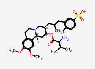 COc1cc2c(cc1OC)[C@H]1C[C@@H](OC(=O)[C@@H](N)C(C)C)[C@H](CC(C)Cc3cc(S(=O)(=O)O)ccc3C)CN1CC2